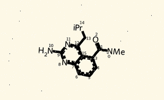 CNC(=O)c1cccc2nc(N)nc(CC(C)C)c12